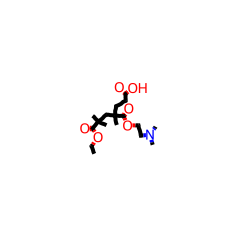 CCOC(=O)C(C)(C)CC(C)(CCC(=O)O)C(=O)OCCN(C)C